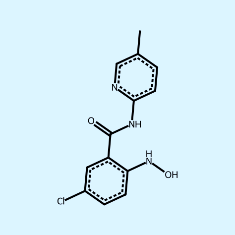 Cc1ccc(NC(=O)c2cc(Cl)ccc2NO)nc1